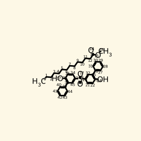 CCCCCCCCCCCCCC(=O)OC.O=S(=O)(c1ccc(O)c(-c2ccccc2)c1)c1ccc(O)c(-c2ccccc2)c1